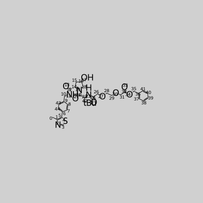 Cc1ncsc1-c1ccc(CNC(=O)[C@@H]2C[C@@H](O)CN2C(=O)[C@@H](NC(=O)COCCOCC(=O)OCc2ccccc2)C(C)(C)C)cc1